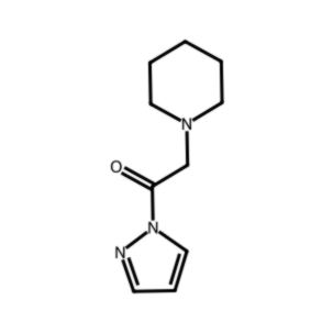 O=C(CN1CCCCC1)n1cccn1